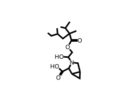 CCC(C)CC(C)(C(=O)OCC(O)N1CC2CC2C1C(=O)O)C(C)C